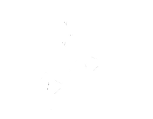 CN(C)CC(=O)N[C@H]1CC[C@@](COC(CO)c2cc(C(F)(F)F)cc(C(F)(F)F)c2)(c2ccccc2)CC1